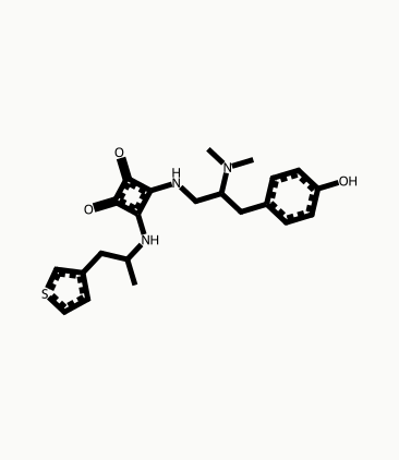 CC(Cc1ccsc1)Nc1c(NCC(Cc2ccc(O)cc2)N(C)C)c(=O)c1=O